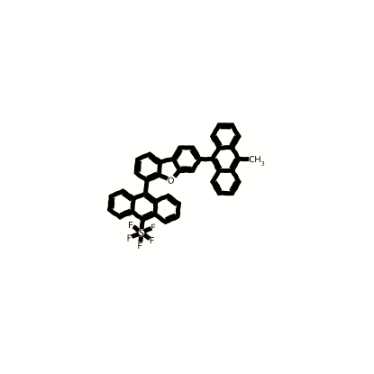 Cc1c2ccccc2c(-c2ccc3c(c2)oc2c(-c4c5ccccc5c(S(F)(F)(F)(F)F)c5ccccc45)cccc23)c2ccccc12